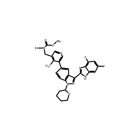 CCN(Cc1cncc(-c2ccc3c(c2)c(-c2nc4c(F)cc(F)cc4[nH]2)nn3C2CCCCO2)c1C)C(=O)OC(C)(C)C